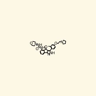 Cc1cc(OCCN2CCCC2)ccc1-c1[nH]nc2c1C(=O)c1c(NC(=O)NN3CCOCC3)cccc1-2